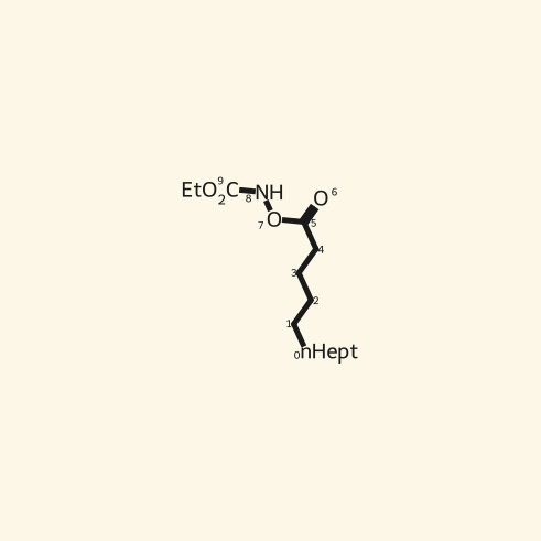 CCCCCCCCCCCC(=O)ONC(=O)OCC